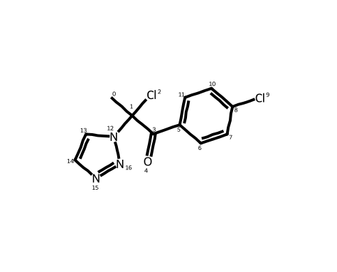 CC(Cl)(C(=O)c1ccc(Cl)cc1)n1ccnn1